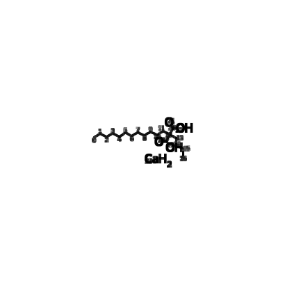 CCCCCCCCCCCCC(CCCC)(C(=O)O)C(=O)O.[CaH2]